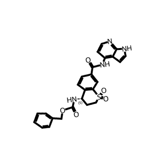 O=C(N[C@H]1CCS(=O)(=O)c2cc(C(=O)Nc3ccnc4[nH]ccc34)ccc21)OCc1ccccc1